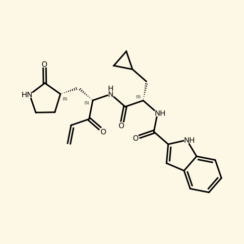 C=CC(=O)[C@H](C[C@@H]1CCNC1=O)NC(=O)[C@H](CC1CC1)NC(=O)c1cc2ccccc2[nH]1